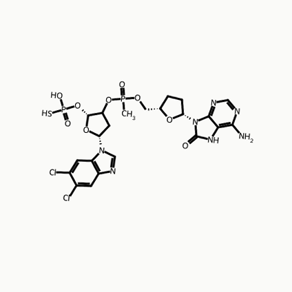 CP(=O)(OC[C@@H]1CC[C@H](n2c(=O)[nH]c3c(N)ncnc32)O1)OC1C[C@H](n2cnc3cc(Cl)c(Cl)cc32)O[C@@H]1OP(=O)(O)S